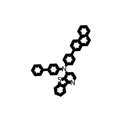 c1ccc(-c2ccc(N(c3ccc(-c4ccc5c(ccc6ccccc65)c4)cc3)c3ccnc4c3sc3ccccc34)cc2)cc1